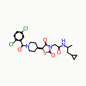 CC(CC1CC1)NC(=O)CN1C(=O)SC(=C2CCN(C(=O)c3cc(Cl)ccc3Cl)CC2)C1=O